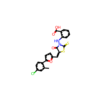 Cc1cc(Cl)ccc1-c1ccc(/C=C2/SC(=S)N(Nc3ccccc3C(=O)O)C2=O)o1